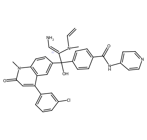 C=CN(C)/C(=C\N)C(O)(c1ccc(C(=O)Nc2ccncc2)cc1)c1ccc2c(c1)c(-c1cccc(Cl)c1)cc(=O)n2C